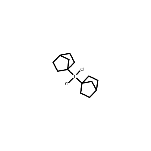 [Cl][Ti]([Cl])([C]12CCC(CC1)C2)[C]12CCC(CC1)C2